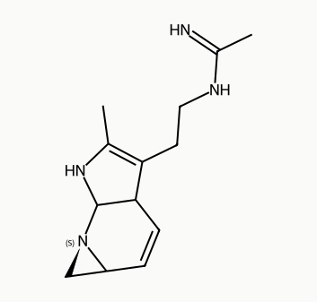 CC(=N)NCCC1=C(C)NC2C1C=CC1C[N@]12